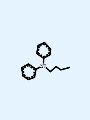 CCC[CH2][Sb]([c]1ccccc1)[c]1ccccc1